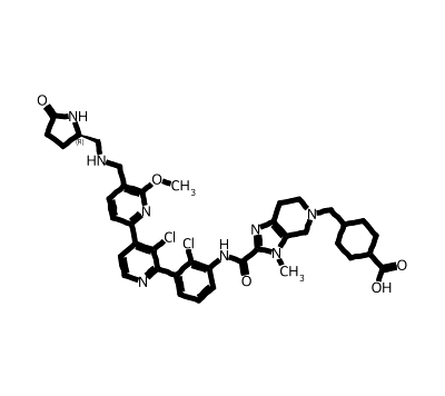 COc1nc(-c2ccnc(-c3cccc(NC(=O)c4nc5c(n4C)CN(CC4CCC(C(=O)O)CC4)CC5)c3Cl)c2Cl)ccc1CNC[C@H]1CCC(=O)N1